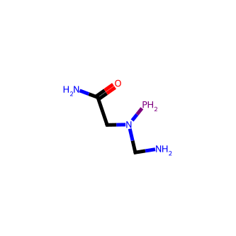 NCN(P)CC(N)=O